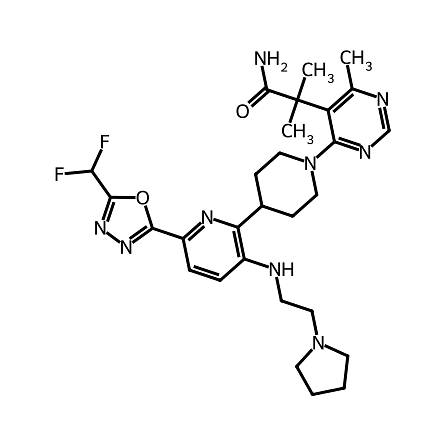 Cc1ncnc(N2CCC(c3nc(-c4nnc(C(F)F)o4)ccc3NCCN3CCCC3)CC2)c1C(C)(C)C(N)=O